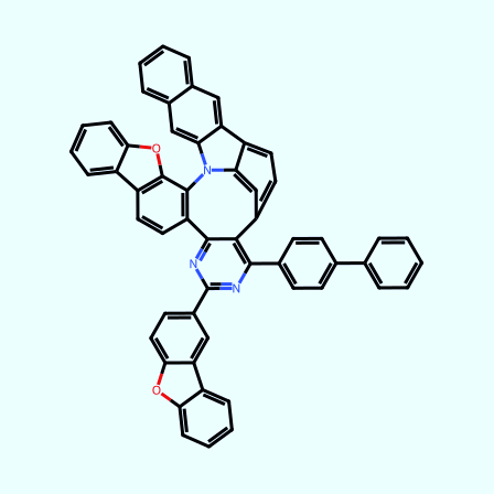 c1ccc(-c2ccc(-c3nc(-c4ccc5oc6ccccc6c5c4)nc4c3-c3ccc5c6cc7ccccc7cc6n(c5c3)-c3c-4ccc4c3oc3ccccc34)cc2)cc1